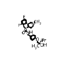 CC(C)[C@](C)(O)COc1ccc(CNC(=O)N(Cc2ccc(F)cc2F)C2CCN(C)CC2)cc1